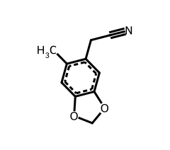 Cc1cc2c(cc1CC#N)OCO2